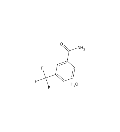 NC(=O)c1cccc(C(F)(F)F)c1.O